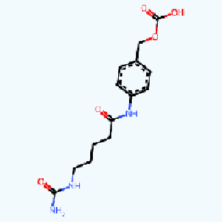 NC(=O)NCCCCC(=O)Nc1ccc(COC(=O)O)cc1